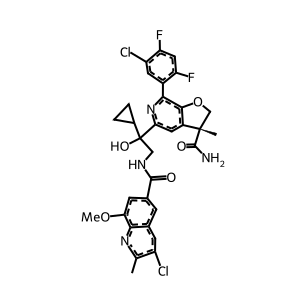 COc1cc(C(=O)NCC(O)(c2cc3c(c(-c4cc(Cl)c(F)cc4F)n2)OC[C@]3(C)C(N)=O)C2CC2)cc2cc(Cl)c(C)nc12